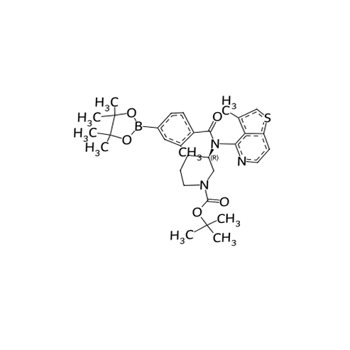 Cc1cc(B2OC(C)(C)C(C)(C)O2)ccc1C(=O)N(c1nccc2scc(C)c12)[C@@H]1CCCN(C(=O)OC(C)(C)C)C1